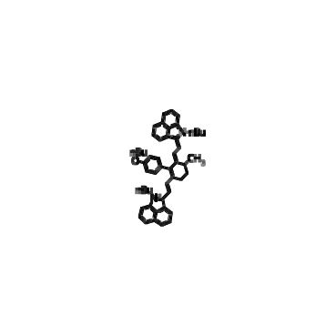 CCCCOc1ccc(C2=C(/C=C/C3=[N+](CCCC)c4cccc5cccc3c45)CCC(C)/C2=C\C=c2/c3cccc4cccc(c43)n2CCCC)cc1